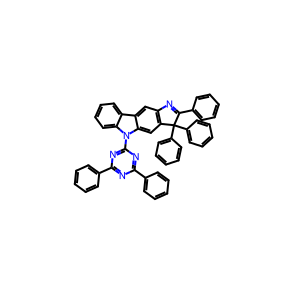 c1ccc(C2=Nc3cc4c5ccccc5n(-c5nc(-c6ccccc6)nc(-c6ccccc6)n5)c4cc3C2(c2ccccc2)c2ccccc2)cc1